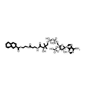 CC(C)(COP(=O)(O)OP(=O)(O)OC[C@H]1O[C@@H](n2cnc3c(N)ncnc32)[C@H](O)[C@@H]1OP(=O)(O)O)[C@@H](O)C(=O)NCCC(=O)NCCSC(=O)c1ccc2ccccc2c1